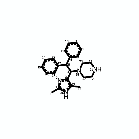 Cc1nc(C(C(c2ccccc2)c2ccccc2)N2CCNCC2)c(C)[nH]1